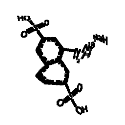 Nc1cc(S(=O)(=O)O)cc2ccc(S(=O)(=O)O)cc12.[NaH].[NaH]